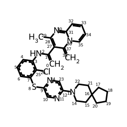 C=C(Nc1cccc(Sc2cnc(N3CCC4(CCCC4)CC3)cn2)c1Cl)C1=C(C)N=C2C=CC=CN2C1=C